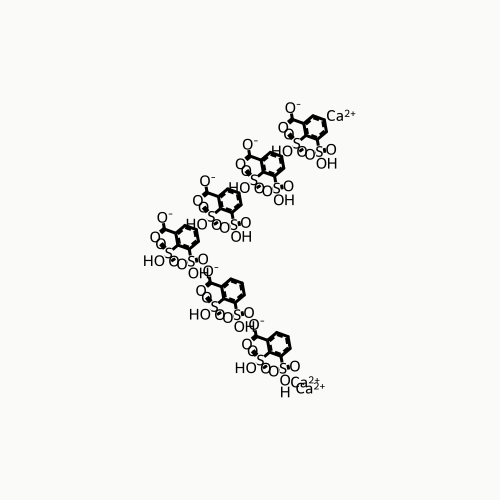 O=C([O-])c1cccc(S(=O)(=O)O)c1S(=O)(=O)O.O=C([O-])c1cccc(S(=O)(=O)O)c1S(=O)(=O)O.O=C([O-])c1cccc(S(=O)(=O)O)c1S(=O)(=O)O.O=C([O-])c1cccc(S(=O)(=O)O)c1S(=O)(=O)O.O=C([O-])c1cccc(S(=O)(=O)O)c1S(=O)(=O)O.O=C([O-])c1cccc(S(=O)(=O)O)c1S(=O)(=O)O.[Ca+2].[Ca+2].[Ca+2]